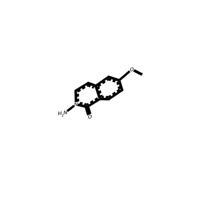 COc1ccc2c(=O)n(N)ccc2c1